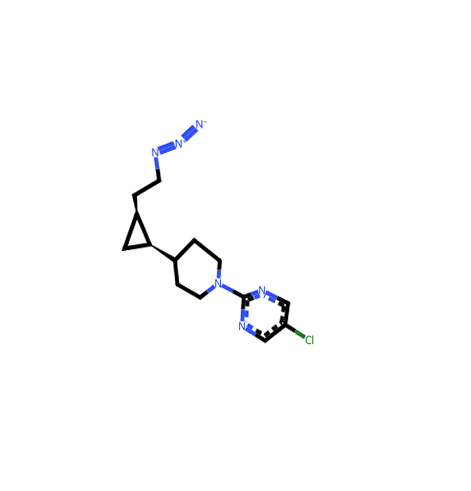 [N-]=[N+]=NCC[C@@H]1C[C@@H]1C1CCN(c2ncc(Cl)cn2)CC1